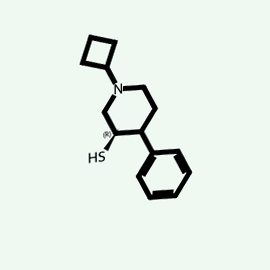 S[C@H]1CN(C2CCC2)CCC1c1ccccc1